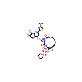 COc1ccc2c(OCC[C@@H]3NC(=O)N(C)CCCCC=C[C@@H]4C[C@@]4(C(=O)NS(=O)(=O)N4CCOCC4)NC3=O)cc(-c3nc(C(C)C)cs3)nc2c1Cl